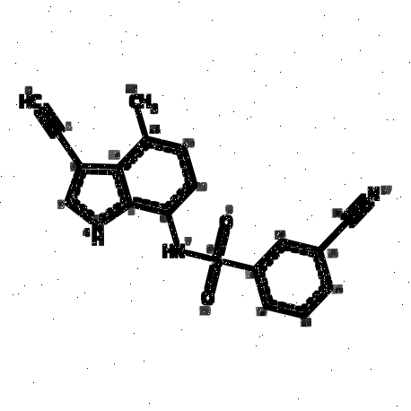 C#Cc1c[nH]c2c(NS(=O)(=O)c3cccc(C#N)c3)ccc(C)c12